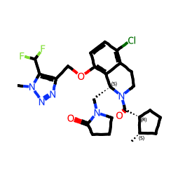 C[C@H]1CCC[C@H]1C(=O)N1CCc2c(Cl)ccc(OCc3nnn(C)c3C(F)F)c2[C@H]1CN1CCCC1=O